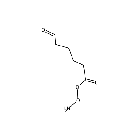 NOOC(=O)CCCCC=O